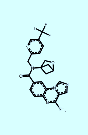 Nc1nc2ccc(C(=O)N(Cc3ccc(C(F)(F)F)cn3)C34COC(C3)C4)cc2n2cncc12